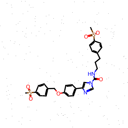 CS(=O)(=O)c1ccc(CCCNC(=O)n2cnc(-c3ccc(OCc4ccc(S(C)(=O)=O)cc4)cc3)c2)cc1